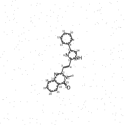 Cn1c(C=Cc2nc(-c3ccccc3)c[nH]2)nc2ccccc2c1=O